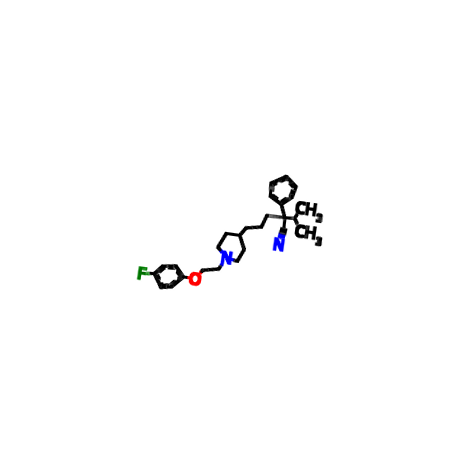 CC(C)C(C#N)(CCCC1CCN(CCOc2ccc(F)cc2)CC1)c1ccccc1